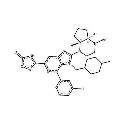 CC(=O)N1CCN(c2nc3cc(-c4noc(=O)[nH]4)nc(-c4cncc(Cl)c4)c3n2CC2CCC(C)CC2)[C@@H]2CCC[C@H]21